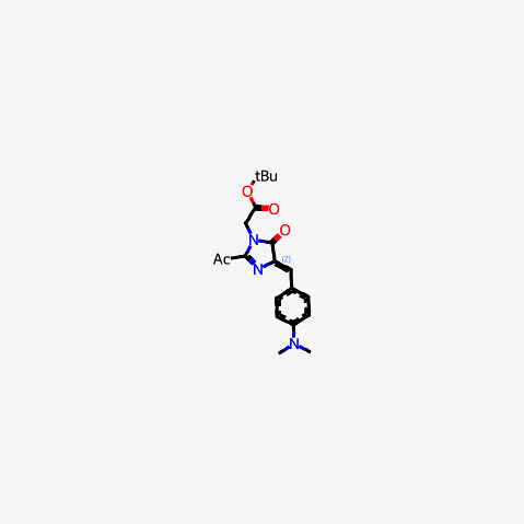 CC(=O)C1=N/C(=C\c2ccc(N(C)C)cc2)C(=O)N1CC(=O)OC(C)(C)C